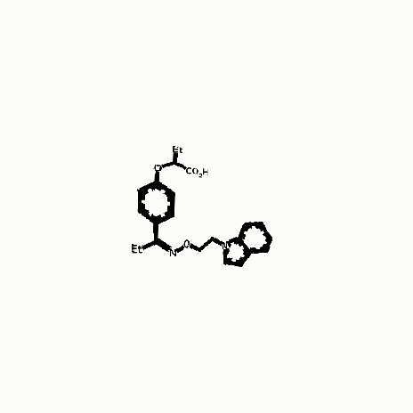 CCC(=NOCCn1ccc2ccccc21)c1ccc(OC(CC)C(=O)O)cc1